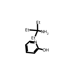 CCC(N)(CC)CC.Oc1ccccn1